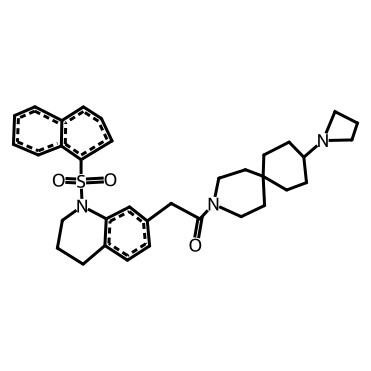 O=C(Cc1ccc2c(c1)N(S(=O)(=O)c1cccc3ccccc13)CCC2)N1CCC2(CCC(N3CCC3)CC2)CC1